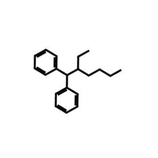 CCCCC(CC)C(c1ccccc1)c1ccccc1